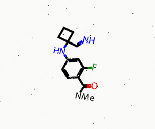 CNC(=O)c1ccc(NC2(C=N)CCC2)cc1F